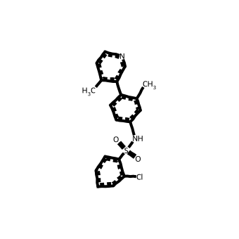 Cc1cc(NS(=O)(=O)c2ccccc2Cl)ccc1-c1cnccc1C